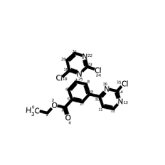 CCOC(=O)c1cccc(-c2ccnc(Cl)n2)c1.Clc1ccnc(Cl)n1